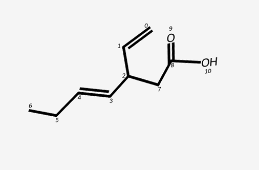 C=CC(/C=C/CC)CC(=O)O